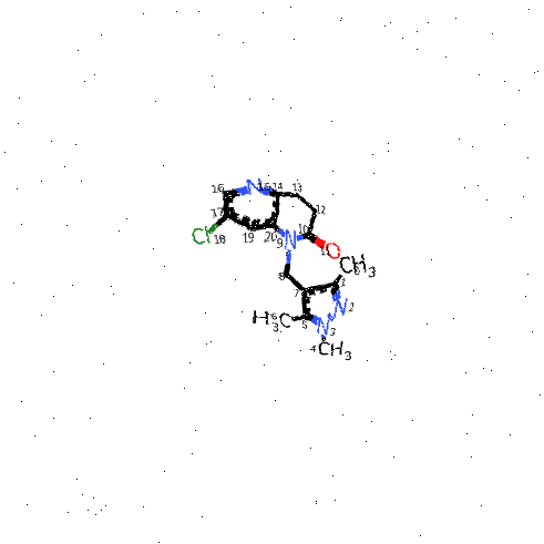 Cc1nn(C)c(C)c1CN1C(=O)CCc2ncc(Cl)cc21